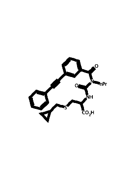 CCCN(C(=O)NC(CSCC1CC1)C(=O)O)C(=O)c1cccc(C#Cc2ccccc2)c1